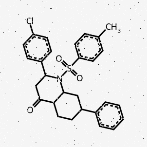 Cc1ccc(S(=O)(=O)N2C(c3ccc(Cl)cc3)CC(=O)C3CCC(c4ccccc4)CC32)cc1